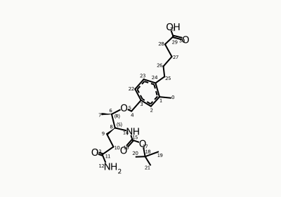 Cc1cc(CO[C@H](C)[C@H](CCC(N)=O)NC(=O)OC(C)(C)C)ccc1CCCCC(=O)O